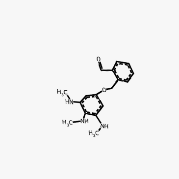 CNc1cc(OCc2ccccc2C=O)cc(NC)c1NC